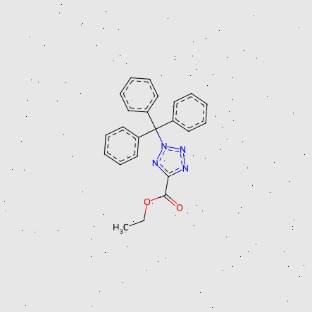 CCOC(=O)c1nnn(C(c2ccccc2)(c2ccccc2)c2ccccc2)n1